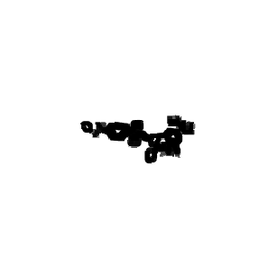 CCN(CC)c1cc(C)c(NC(=O)OCCS(=O)(=O)c2ccc([N+](=O)[O-])cc2)c(C)c1